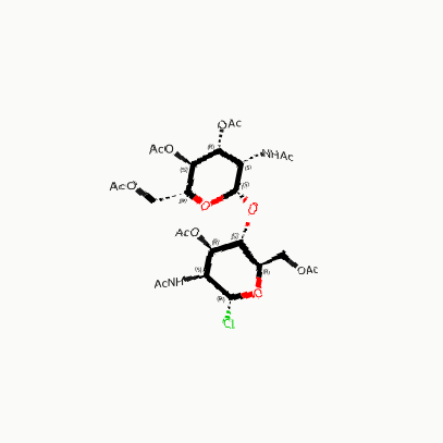 CC(=O)N[C@@H]1[C@H](O[C@H]2[C@H](OC(C)=O)[C@H](NC(C)=O)[C@@H](Cl)O[C@@H]2COC(C)=O)O[C@H](COC(C)=O)[C@@H](OC(C)=O)[C@@H]1OC(C)=O